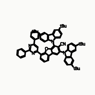 CC(C)(C)c1ccc2c(c1)c1cc(C(C)(C)C)ccc1n2-c1cc2c(oc3c(-c4cc(-c5ccccc5)nc(-c5ccccc5)n4)cccc32)c(-n2c3ccc(C(C)(C)C)cc3c3cc(C(C)(C)C)ccc32)c1C#N